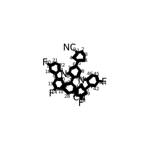 N#Cc1cccc(-c2cc(-n3c4ccc(F)cc4c4cc(F)ccc43)c(-c3cccc(C#N)c3)c(-n3c4ccc(F)cc4c4cc(F)ccc43)c2)c1